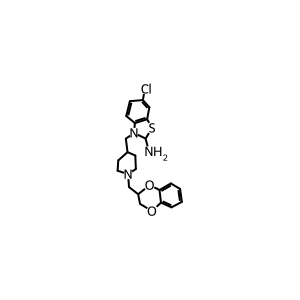 NC1Sc2cc(Cl)ccc2N1CC1CCN(CC2COc3ccccc3O2)CC1